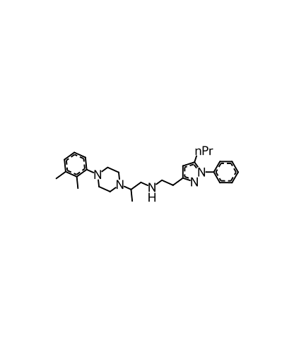 CCCc1cc(CCNCC(C)N2CCN(c3cccc(C)c3C)CC2)nn1-c1ccccc1